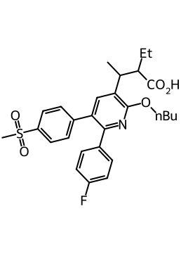 CCCCOc1nc(-c2ccc(F)cc2)c(-c2ccc(S(C)(=O)=O)cc2)cc1C(C)C(CC)C(=O)O